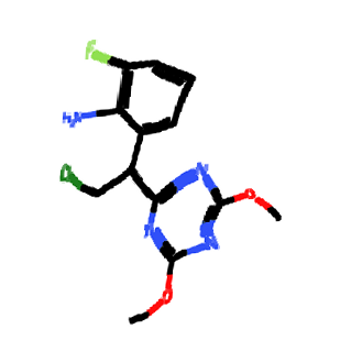 COc1nc(OC)nc(C(CCl)c2cccc(F)c2N)n1